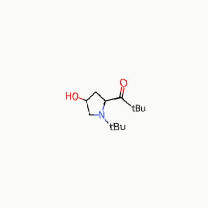 CC(C)(C)C(=O)C1CC(O)CN1C(C)(C)C